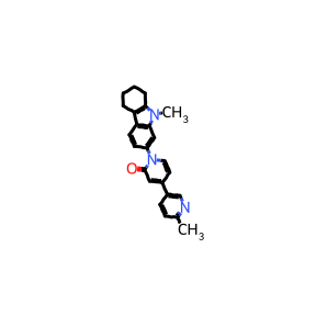 Cc1ccc(-c2ccn(-c3ccc4c5c(n(C)c4c3)CCCC5)c(=O)c2)cn1